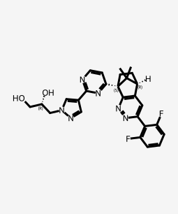 CC1(C)[C@H]2CC[C@]1(c1ccnc(-c3cnn(C[C@@H](O)CO)c3)n1)c1nnc(-c3c(F)cccc3F)cc12